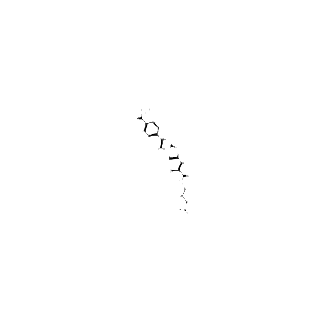 CCN(CC)CCCNC(=O)c1cnc2c(c1)sc1nc(-c3ccc(C(=O)NC)cc3)cn12